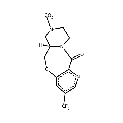 O=C(O)N1CCN2C(=O)c3ncc(C(F)(F)F)cc3OC[C@@H]2C1